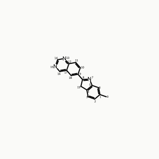 Cc1ccc2c(c1)N=C(c1ccc3ncncc3c1)C2